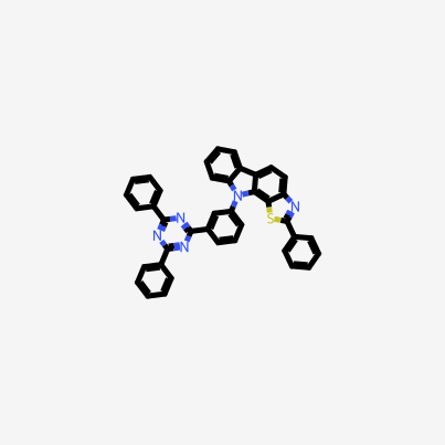 c1ccc(-c2nc(-c3ccccc3)nc(-c3cccc(-n4c5ccccc5c5ccc6nc(-c7ccccc7)sc6c54)c3)n2)cc1